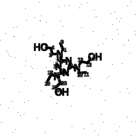 CCN(CCO)c1nc(N(CC)CCO)nc(N(CC)CCO)n1